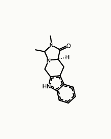 CC1N(C)C(=O)[C@H]2Cc3c([nH]c4ccccc34)CN12